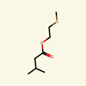 CSCCOC(=O)CC(C)C